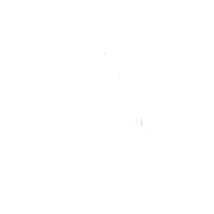 C=C[SiH2]COC(C)(C)C